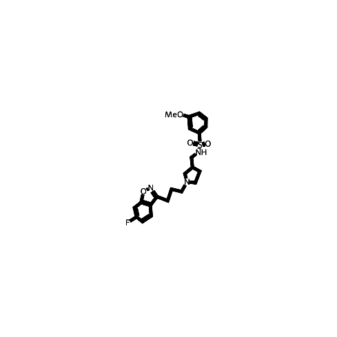 COc1cccc(S(=O)(=O)NCC2CCN(CCCc3noc4cc(F)ccc34)C2)c1